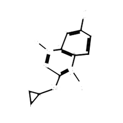 [O-][n+]1nc(NC2CC2)[n+]([O-])c2ccc(Cl)cc21